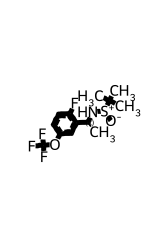 C[C@@H](N[S+]([O-])C(C)(C)C)c1cc(OC(F)(F)F)ccc1F